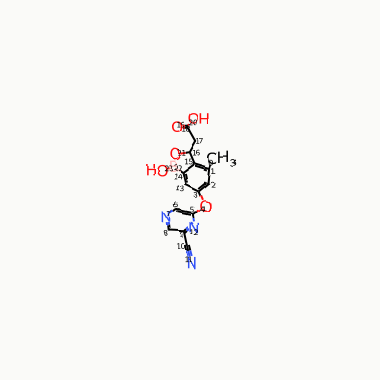 Cc1cc(Oc2cncc(C#N)n2)cc2c1C(CC(=O)O)OB2O